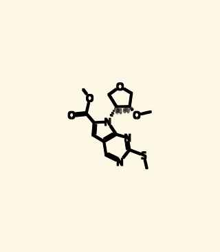 COC(=O)c1cc2cnc(SC)nc2n1[C@@H]1COC[C@@H]1OC